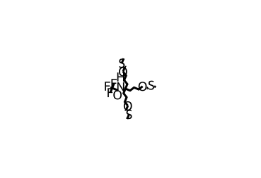 CSCOCCCC(CCCOCSC)(CCCOCSC)NC(=O)C(F)(F)F